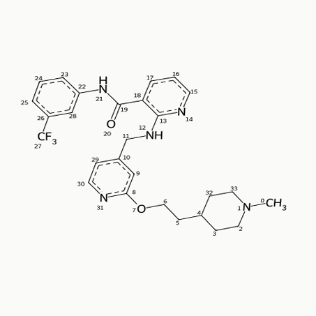 CN1CCC(CCOc2cc(CNc3ncccc3C(=O)Nc3cccc(C(F)(F)F)c3)ccn2)CC1